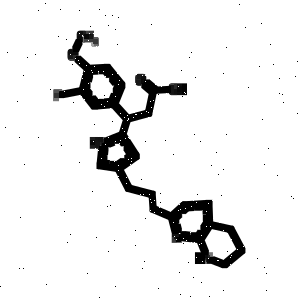 COc1ccc(C(CC(=O)O)c2cc(CCCc3ccc4c(n3)NCCC4)c[nH]2)cc1F